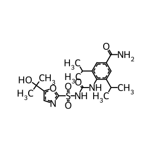 CC(C)c1cc(C(N)=O)cc(C(C)C)c1NC(=O)NS(=O)(=O)c1ncc(C(C)(C)O)o1